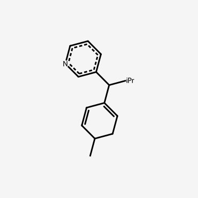 CC1C=CC(C(c2cccnc2)C(C)C)=CC1